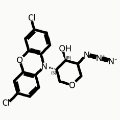 [N-]=[N+]=NC1COC[C@H](N2c3ccc(Cl)cc3Oc3cc(Cl)ccc32)[C@H]1O